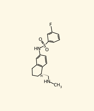 CNC[C@@H]1CCCc2cc(NS(=O)(=O)c3cccc(F)c3)ccc21